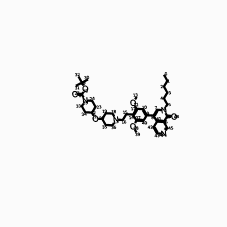 CCCCCCn1cc(-c2cc(OC)c(CCN3CCC(OC4CCN(C(=O)OC(C)(C)C)CC4)CC3)c(OC)c2)c2ccncc2c1=O